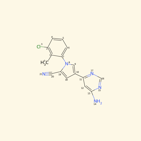 Cc1c(Cl)cccc1-n1cc(-c2cc(N)ncn2)cc1C#N